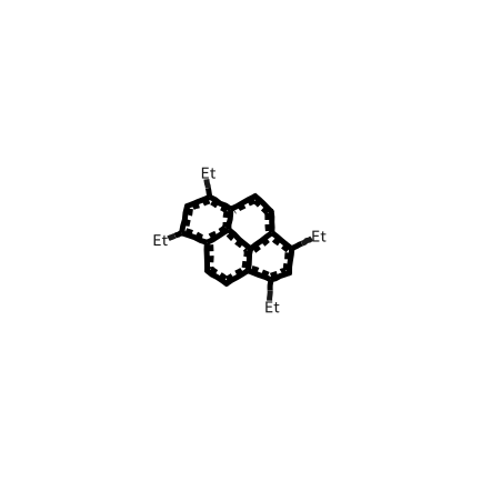 CCc1cc(CC)c2ccc3c(CC)cc(CC)c4ccc1c2c43